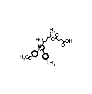 COc1ccc(-n2nc(C(O)CCC(C)OC(=O)CCC(=O)O)cc2-c2ccc(C)cc2)cc1